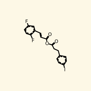 O=C(/C=C/c1cc(F)ccc1F)OC(=O)CCc1ccc(I)cc1